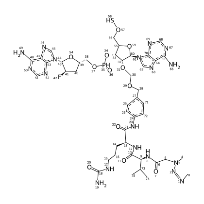 C/N=N\N(C)CC(=O)N[C@H](C(=O)N[C@@H](CCCNC(N)=O)C(=O)Nc1ccc(COCO[C@@H]2[C@H](O[PH](=O)OC[C@@H]3C[C@@H](F)[C@H](n4cnc5c(N)ncnc54)O3)C(COS)O[C@H]2n2cnc3c(N)ncnc32)cc1)C(C)C